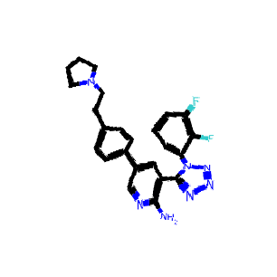 Nc1ncc(-c2ccc(CCN3CCCC3)cc2)cc1-c1nnnn1-c1cccc(F)c1F